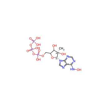 C[C@@]1(O)C(O)C(COP(=O)(O)OP(=O)(O)OP(=O)(O)O)O[C@H]1n1cnc2c(NO)ncnc21